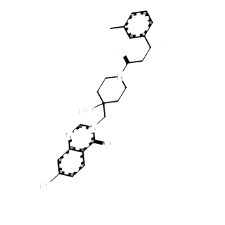 Cc1cccc([C@H](C)CC(=O)N2CCC(O)(Cn3cnc4cc(Br)ccc4c3=O)CC2)c1